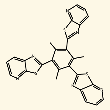 Cc1c(-c2nc3cccnc3s2)c(C)c(-c2nc3cccnc3s2)c(C)c1-c1nc2cccnc2s1